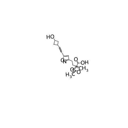 C[C@@](CCc1cc(C#CC2CC(O)C2)on1)(C(=O)O)S(C)(=O)=O